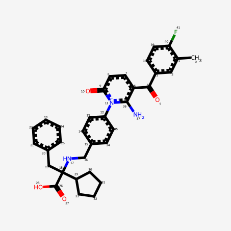 Cc1cc(C(=O)c2ccc(=O)n(-c3ccc(CNC(Cc4ccccc4)(C(=O)O)C4CCCC4)cc3)c2N)ccc1F